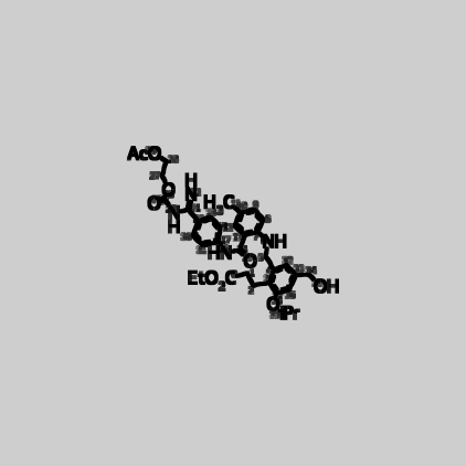 CCOC(=O)CCc1c(CNc2ccc(C)cc2C(=O)Nc2ccc(C(=N)NC(=O)OCCOC(C)=O)cc2)cc(CO)cc1OC(C)C